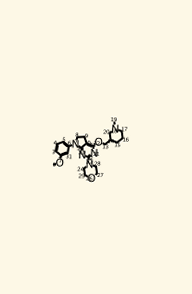 COc1cccc(N2CCc3c(OCC4CCCN(C)C4)nc(N4CCOCC4)nc32)c1